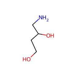 NCC(O)CCO